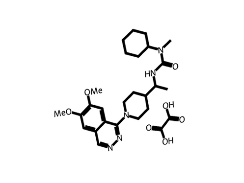 COc1cc2cnnc(N3CCC(C(C)NC(=O)N(C)C4CCCCC4)CC3)c2cc1OC.O=C(O)C(=O)O